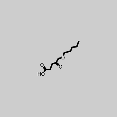 CCCCCOCC(=O)CCC(=O)O